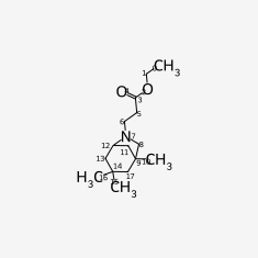 CCOC(=O)CCN1CC2(C)CC1CC(C)(C)C2